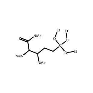 C=C(NC)C(NC)C(CC[Si](OCC)(OCC)OCC)NC